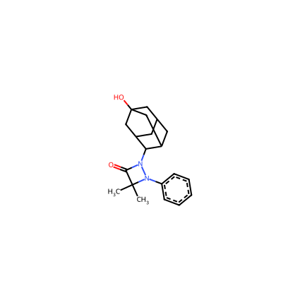 CC1(C)C(=O)N(C2C3CC4CC2CC(O)(C4)C3)N1c1ccccc1